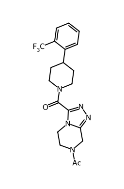 CC(=O)N1CCn2c(nnc2C(=O)N2CCC(c3ccccc3C(F)(F)F)CC2)C1